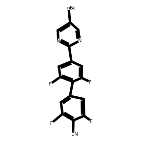 CCCCc1cnc(-c2cc(F)c(-c3cc(F)c(C#N)c(F)c3)c(F)c2)nc1